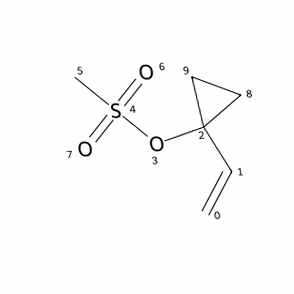 C=CC1(OS(C)(=O)=O)CC1